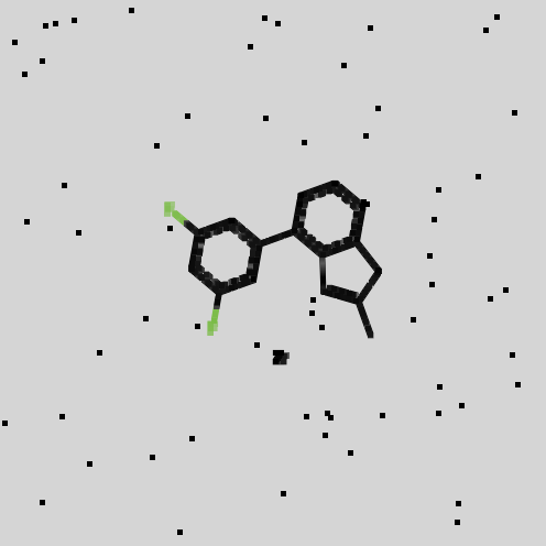 CC1=Cc2c(cccc2-c2cc(F)cc(F)c2)C1.[Zr]